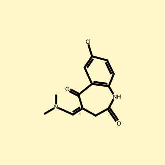 CN(C)/C=C1/CC(=O)Nc2ccc(Cl)cc2C1=O